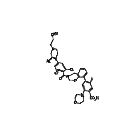 COCCN1CCN(c2cc(Cl)c(C(=O)N3COc4c(cccc4-c4cc(N5CCOCC5)c(C(=O)O)cc4F)C3)c(Cl)c2)[C@@H](C#N)C1